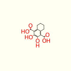 O=C(O)c1c(O)c(O)c(C(=O)O)c2c1CCCC2